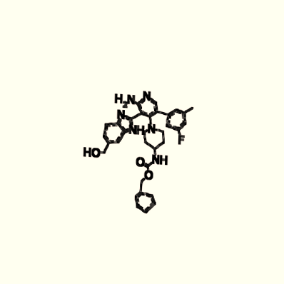 Cc1cc(F)cc(-c2cnc(N)c(-c3nc4ccc(CO)cc4[nH]3)c2N2CCC(NC(=O)OCc3ccccc3)CC2)c1